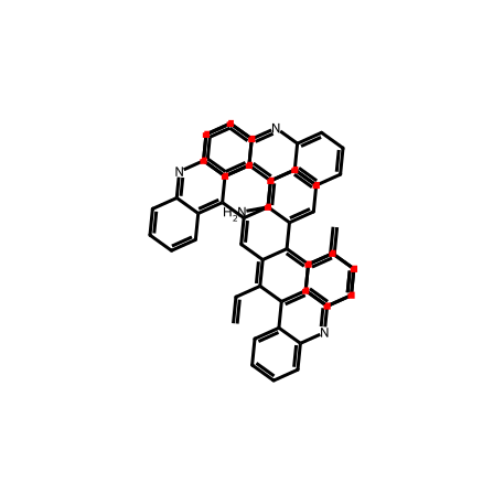 C=C/C(=C(\C=C(/Cc1c2ccccc2nc2ccccc12)c1c2ccccc2nc2ccccc12)C(/c1ccccc1N)=c1\ccccc1=C)c1c2ccccc2nc2ccccc12